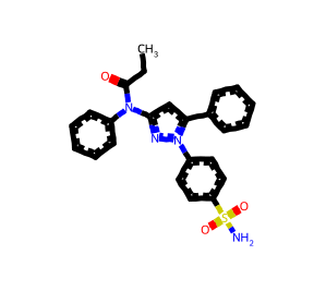 CCC(=O)N(c1ccccc1)c1cc(-c2ccccc2)n(-c2ccc(S(N)(=O)=O)cc2)n1